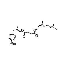 CC(C)=CCCC(C)=CCOC(=O)CCC(=O)OC=C(C)Cc1ccc(C(C)(C)C)cc1